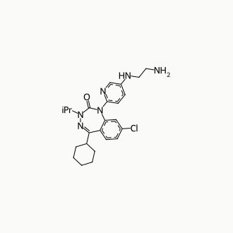 CC(C)N1N=C(C2CCCCC2)c2ccc(Cl)cc2N(c2ccc(NCCN)cn2)C1=O